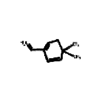 C=CC1=CCC(C)(C(F)(F)F)C=C1